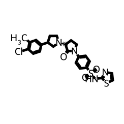 Cc1cc(C2CCN([C@H]3CCN(c4ccc(S(=O)(=O)Nc5nccs5)cc4)C3=O)C2)ccc1Cl